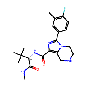 CNC(=O)[C@@H](NC(=O)c1nc(-c2ccc(F)c(C)c2)n2c1CNCC2)C(C)(C)C